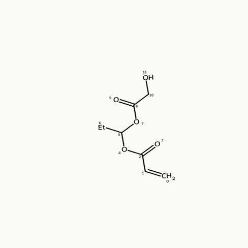 C=CC(=O)OC(CC)OC(=O)CO